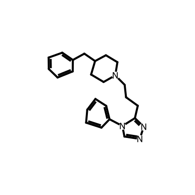 c1ccc(CC2CCN(CCCc3nncn3-c3ccccc3)CC2)cc1